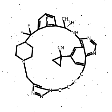 C[C@H]1Nc2ncnc3c(cc(C4(C#N)CC4)cc23)CCCCn2cc(nn2)CN2CCC(CC2)C(F)(F)c2cccc1c2F